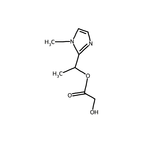 CC(OC(=O)CO)c1nccn1C